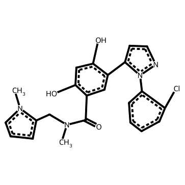 CN(Cc1cccn1C)C(=O)c1cc(-c2ccnn2-c2ccccc2Cl)c(O)cc1O